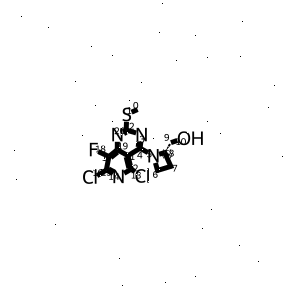 CSc1nc(N2CC[C@H]2CO)c2c(Cl)nc(Cl)c(F)c2n1